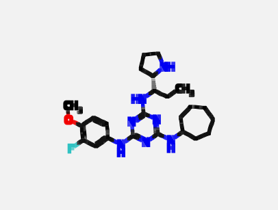 CCC(Nc1nc(Nc2ccc(OC)c(F)c2)nc(NC2CCCCCC2)n1)[C@@H]1CCCN1